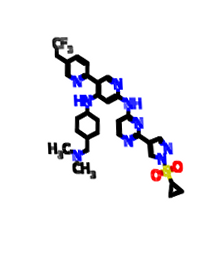 CN(C)CC1CCC(Nc2cc(Nc3ccnc(-c4cnn(S(=O)(=O)C5CC5)c4)n3)ncc2-c2ccc(CC(F)(F)F)cn2)CC1